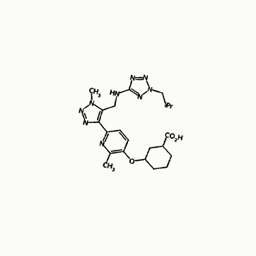 Cc1nc(-c2nnn(C)c2CNc2nnn(CC(C)C)n2)ccc1OC1CCCC(C(=O)O)C1